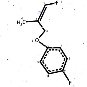 C/C(=C/F)COc1ccc(F)cc1